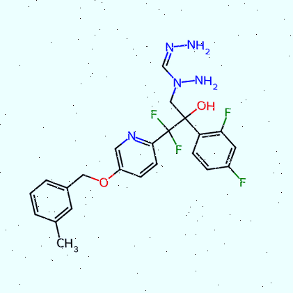 Cc1cccc(COc2ccc(C(F)(F)C(O)(CN(N)/C=N\N)c3ccc(F)cc3F)nc2)c1